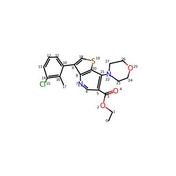 CCOC(=O)c1cnc2c(-c3cccc(Cl)c3C)csc2c1N1CCOCC1